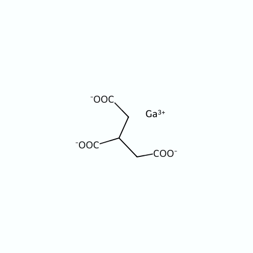 O=C([O-])CC(CC(=O)[O-])C(=O)[O-].[Ga+3]